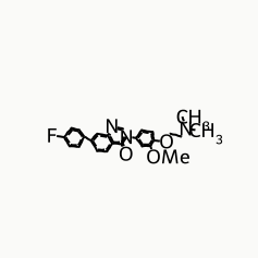 COc1cc(-n2cnc3cc(-c4ccc(F)cc4)ccc3c2=O)ccc1OCCN(C)C